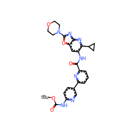 CC(C)(C)OC(=O)Nc1ccc(-c2cccc(C(=O)Nc3cc4oc(N5CCOCC5)nc4nc3C3CC3)n2)cn1